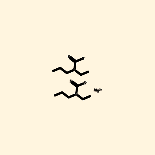 CCCN(CC)C(=S)[S-].CCCN(CC)C(=S)[S-].[Mg+2]